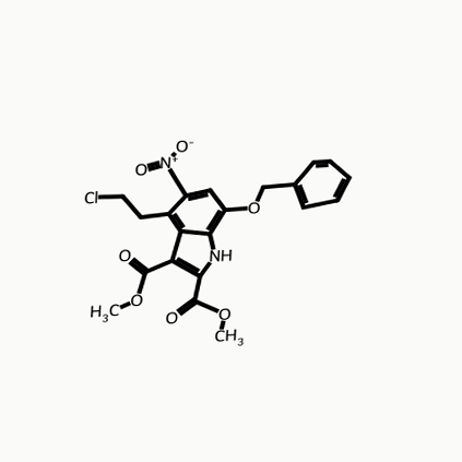 COC(=O)c1[nH]c2c(OCc3ccccc3)cc([N+](=O)[O-])c(CCCl)c2c1C(=O)OC